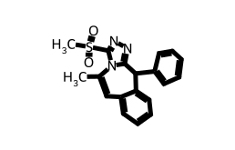 CC1=Cc2ccccc2C(c2ccccc2)c2nnc(S(C)(=O)=O)n21